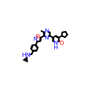 Cc1ncc(-c2c[nH]c(=O)c(C3CCCC3)c2)nc1-c1cc(-c2ccc(CNC3CC3)cc2)no1